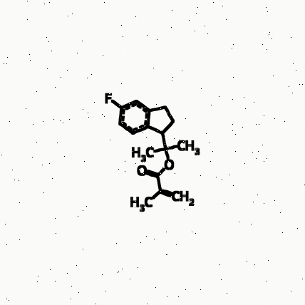 C=C(C)C(=O)OC(C)(C)C1CCc2cc(F)ccc21